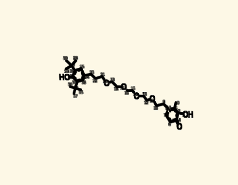 Cc1c(O)c(=O)ccn1CCOCCOCCOCCOCCCc1cc(C(C)(C)C)c(O)c(C(C)(C)C)c1